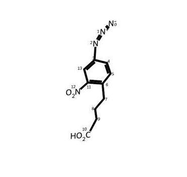 [N-]=[N+]=Nc1ccc(CCCC(=O)O)c([N+](=O)[O-])c1